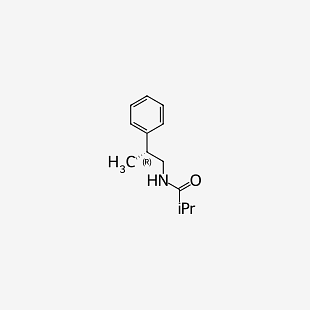 CC(C)C(=O)NC[C@H](C)c1ccccc1